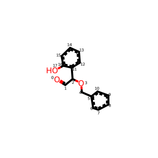 O=CC(OCc1ccccc1)c1ccccc1O